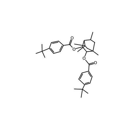 CC1CC2(C)CC(C)(C)C1C(OC(=O)c1ccc(C(C)(C)C)cc1)C2OC(=O)c1ccc(C(C)(C)C)cc1